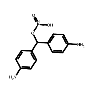 Nc1ccc(C(O[PH](=O)O)c2ccc(N)cc2)cc1